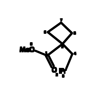 COC(=O)C1(CC(C)C)CCC1